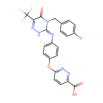 O=C(O)c1ccc(Oc2ccc(/N=c3\[nH]nc(C(F)(F)F)c(=O)n3Cc3ccc(Cl)cc3)cc2)nn1